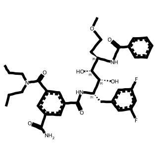 CCCN(CCC)C(=O)c1cc(C(N)=O)cc(C(=O)N[C@@H](Cc2cc(F)cc(F)c2)[C@@H](O)[C@H](O)[C@@H](CCOC)NC(=O)c2ccccc2)c1